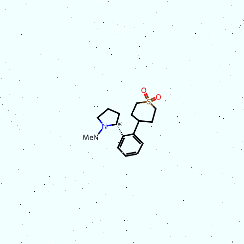 CNN1CCC[C@@H]1c1ccccc1C1CCS(=O)(=O)CC1